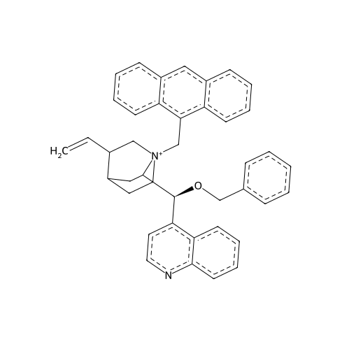 C=CC1C[N+]2(Cc3c4ccccc4cc4ccccc34)CCC1CC2[C@@H](OCc1ccccc1)c1ccnc2ccccc12